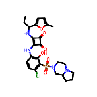 CCC(Nc1c(Nc2ccc(Cl)c(S(=O)(=O)N3CCN4CCCC4C3)c2O)c(=O)c1=O)c1ccc(C)o1